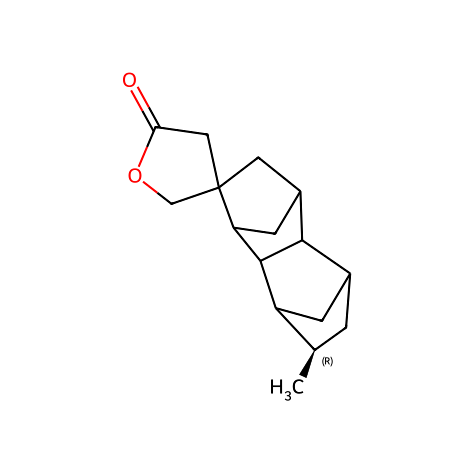 C[C@@H]1CC2CC1C1C2C2CC1C1(COC(=O)C1)C2